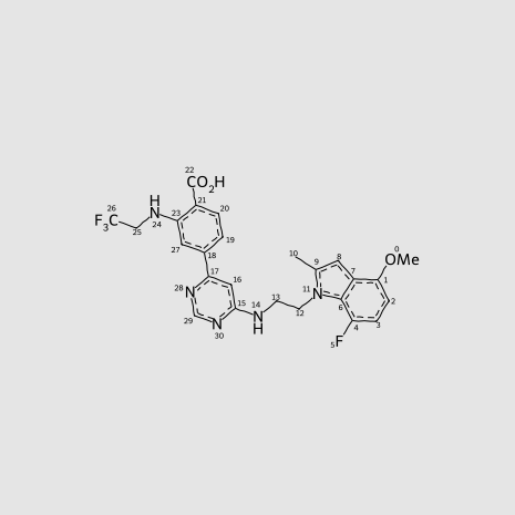 COc1ccc(F)c2c1cc(C)n2CCNc1cc(-c2ccc(C(=O)O)c(NCC(F)(F)F)c2)ncn1